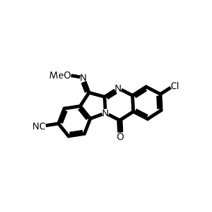 CO/N=C1\c2cc(C#N)ccc2-n2c1nc1cc(Cl)ccc1c2=O